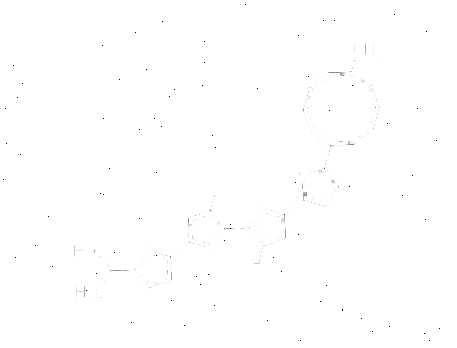 Cc1ccccc(-c2ccc(-c3cc(F)c(-c4sc(-c5ccc(C(C)C)s5)cc4F)s3)s2)cccc1